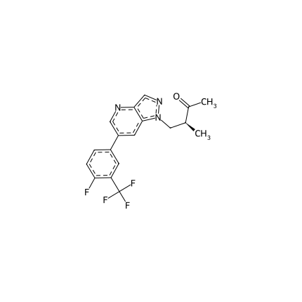 CC(=O)[C@@H](C)Cn1ncc2ncc(-c3ccc(F)c(C(F)(F)F)c3)cc21